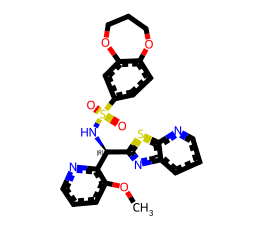 COc1cccnc1[C@@H](NS(=O)(=O)c1ccc2c(c1)OCCCO2)c1nc2cccnc2s1